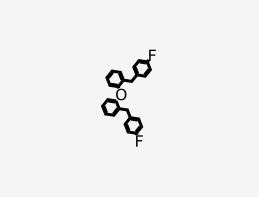 Fc1ccc(Cc2ccccc2Oc2ccccc2Cc2ccc(F)cc2)cc1